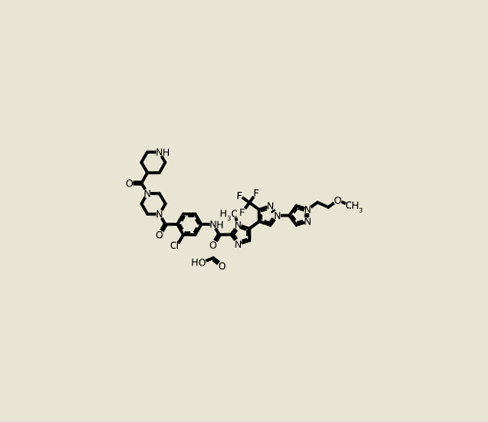 COCCn1cc(-n2cc(-c3cnc(C(=O)Nc4ccc(C(=O)N5CCN(C(=O)C6CCNCC6)CC5)c(Cl)c4)n3C)c(C(F)(F)F)n2)cn1.O=CO